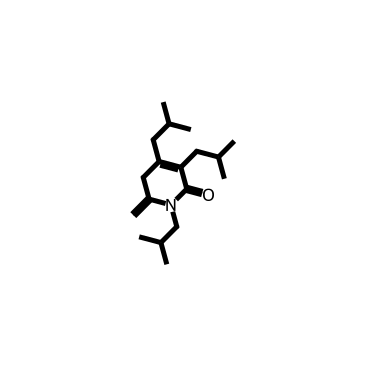 C=C1CC(CC(C)C)=C(CC(C)C)C(=O)N1CC(C)C